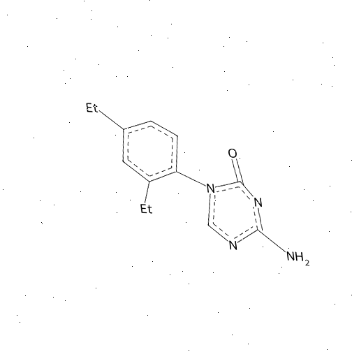 CCc1ccc(-n2cnc(N)nc2=O)c(CC)c1